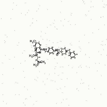 Cc1ccc2c(NCc3ccc(NC(=O)C4CCN(Cc5ccccc5)CC4)cc3)nc(N(C)CCN(C)C)nc2c1